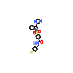 O=C(NCc1ccc(F)cc1)c1ccc(S(=O)(=O)n2cc(-c3cnccn3)c3ccccc32)cc1